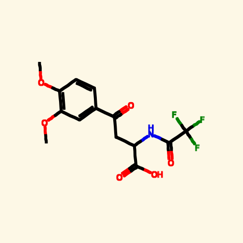 COc1ccc(C(=O)CC(NC(=O)C(F)(F)F)C(=O)O)cc1OC